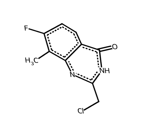 Cc1c(F)ccc2c(=O)[nH]c(CCl)nc12